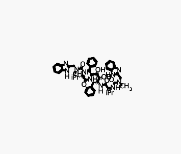 CC(C)[C@H](NC(=O)N(C)Cc1nc2ccccc2[nH]1)C(=O)N[C@@H](Cc1ccccc1)[C@@H](O)[C@H](O)[C@H](Cc1ccccc1)NC(=O)[C@@H](NC(=O)N(C)Cc1nc2ccccc2[nH]1)C(C)C